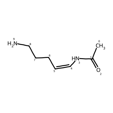 CC(=O)N/C=C\CCCN